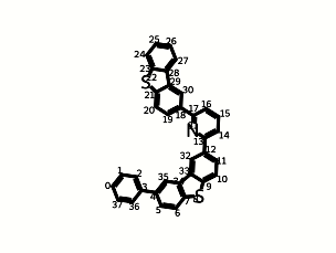 c1ccc(-c2ccc3sc4ccc(-c5cccc(-c6ccc7sc8ccccc8c7c6)n5)cc4c3c2)cc1